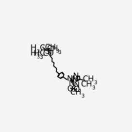 CC(C)c1cnn2c(NCc3ccc(CCCCCCCO[Si](C)(C)C(C)(C)C)cc3)nc(S(C)(=O)=O)nc12